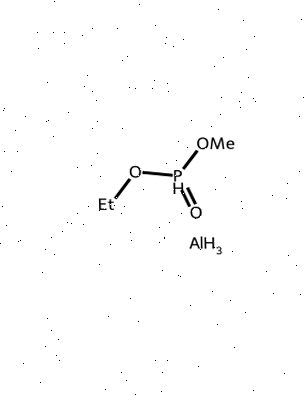 CCO[PH](=O)OC.[AlH3]